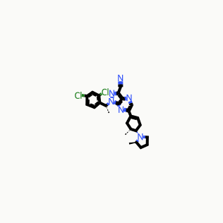 C[C@@H]1CC(c2cnc3c(C#N)nn([C@H](C)c4ccc(Cl)cc4Cl)c3n2)=CC[C@@H]1N1CCC[C@H]1C